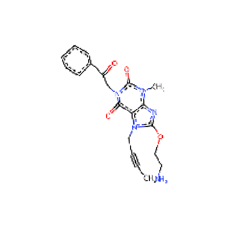 CC#CCn1c(OCCN)nc2c1c(=O)n(CC(=O)c1ccccc1)c(=O)n2C